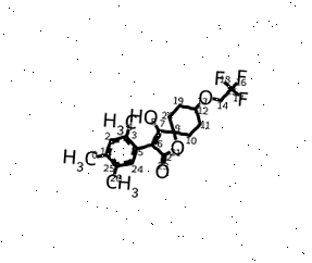 Cc1cc(C)c(C2=C(O)C3(CCC(OCC(F)(F)F)CC3)OC2=O)cc1C